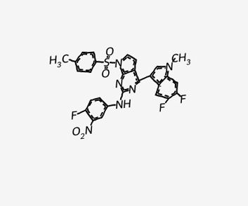 Cc1ccc(S(=O)(=O)n2ccc3c(-c4cn(C)c5cc(F)c(F)cc45)nc(Nc4ccc(F)c([N+](=O)[O-])c4)nc32)cc1